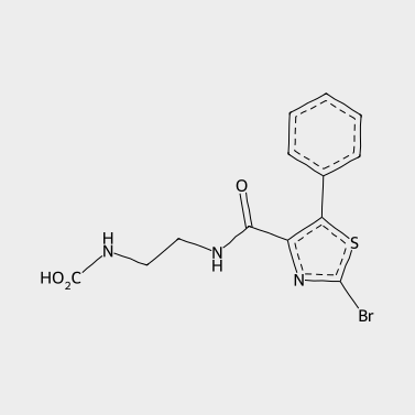 O=C(O)NCCNC(=O)c1nc(Br)sc1-c1ccccc1